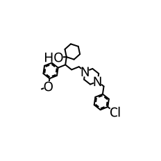 COc1cccc(C(CCN2CCN(Cc3cccc(Cl)c3)CC2)C2(O)CCCCC2)c1